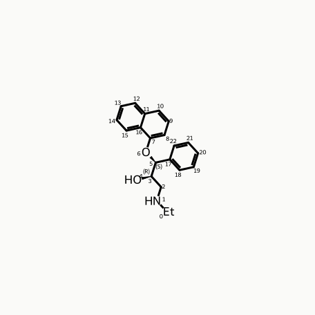 CCNC[C@@H](O)[C@@H](Oc1cccc2ccccc12)c1ccccc1